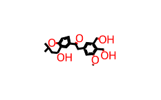 COc1cc(CC(=O)c2ccc3c(c2)C(O)CC(C)(C)O3)cc(CO)c1CO